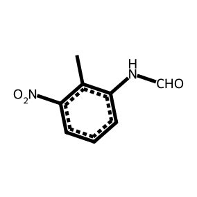 Cc1c(NC=O)cccc1[N+](=O)[O-]